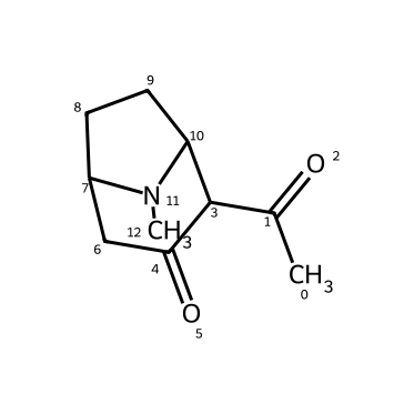 CC(=O)C1C(=O)CC2CCC1N2C